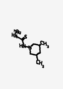 CCCCNC(=S)NN1CC(C)CC(C)C1